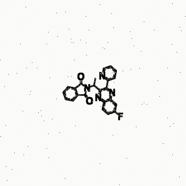 CC(c1nc2ccc(F)cc2nc1-c1ccccn1)N1C(=O)c2ccccc2C1=O